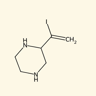 C=C(I)C1CNCCN1